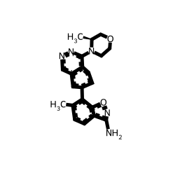 Cc1ccc2c(N)noc2c1-c1ccc2c(N3CCOC[C@@H]3C)nncc2c1